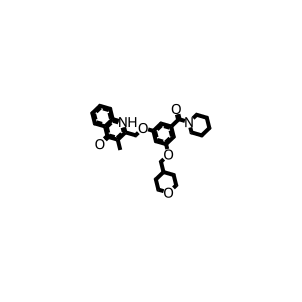 Cc1c(COc2cc(OCC3CCOCC3)cc(C(=O)N3CCCCC3)c2)[nH]c2ccccc2c1=O